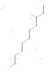 CCC(S)CCCCCCCS